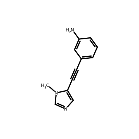 Cn1cncc1C#Cc1cccc(N)c1